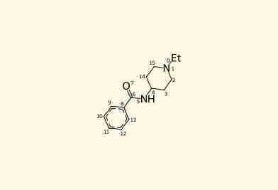 CCN1CCC(NC(=O)c2ccccc2)CC1